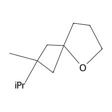 CC(C)C1(C)CC2(CCCO2)C1